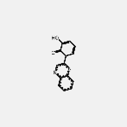 O=C1C(O)=CC=CC1c1cnc2ccccc2n1